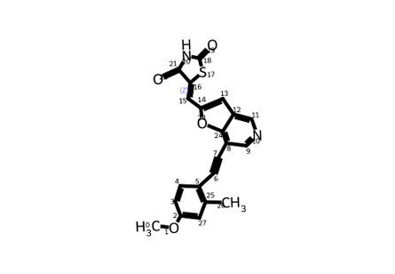 COc1ccc(C#Cc2cncc3cc(/C=C4\SC(=O)NC4=O)oc23)c(C)c1